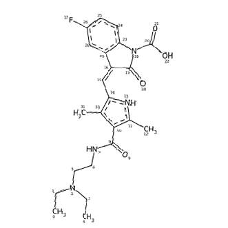 CCN(CC)CCNC(=O)c1c(C)[nH]c(/C=C2\C(=O)N(C(=O)O)c3ccc(F)cc32)c1C